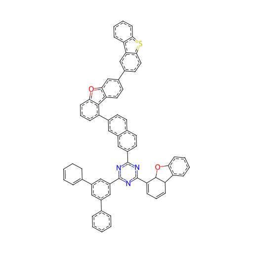 C1=CCCC(c2cc(-c3ccccc3)cc(-c3nc(C4=CC=CC5c6ccccc6OC45)nc(-c4ccc5ccc(-c6cccc7oc8cc(-c9ccc%10sc%11ccccc%11c%10c9)ccc8c67)cc5c4)n3)c2)=C1